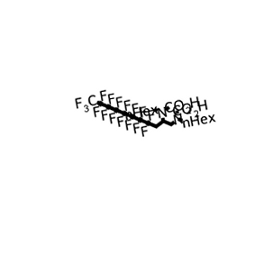 CCCCCCN(CC(CC(F)(F)C(F)(F)C(F)(F)C(F)(F)C(F)(F)C(F)(F)C(F)(F)C(F)(F)F)N(CCCCCC)C(=O)O)C(=O)O